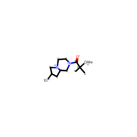 CCC1CC2CN(C(=O)C(C)(C)OC)CCN2C1